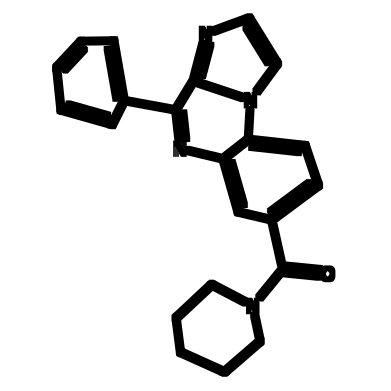 O=C(c1ccc2c(c1)nc(-c1ccccc1)c1nccn12)N1CCCCC1